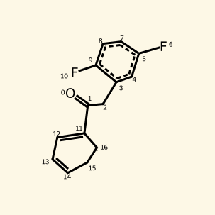 O=C(Cc1cc(F)ccc1F)C1=CC=CC[CH]1